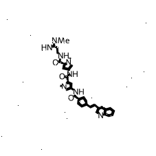 CNC(=N)CCNC(=O)c1cc(NC(=O)c2cc(NC(=O)c3ccc(/C=C/c4cnc5ccccc5c4)cc3)cn2C)cn1C